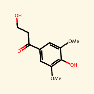 COc1cc(C(=O)CCO)cc(OC)c1O